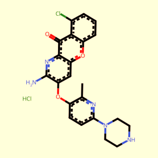 Cc1nc(N2CCNCC2)ccc1Oc1cc2oc3cccc(Cl)c3c(=O)c2nc1N.Cl